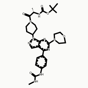 CNC(=O)Nc1ccc(-c2nc(N3CCOCC3)nc3c2cnn3C2CCN(C(=O)[C@H](C)NC(=O)OC(C)(C)C)CC2)cc1